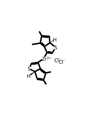 CC1=C[C@@H]2SC=[C]([Zr+2][C]3=CS[C@@H]4C=C(C)C(C)=C34)C2=C1C.[Cl-].[Cl-]